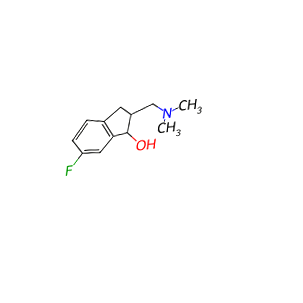 CN(C)CC1Cc2ccc(F)cc2C1O